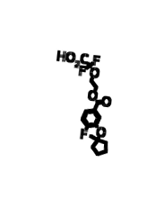 CC1(Oc2cc(C(=O)OCCOC(F)(F)C(=O)O)ccc2F)CCCC1